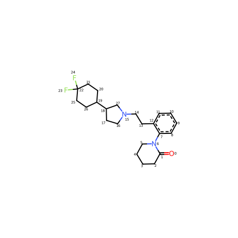 O=C1CCCCN1c1ccccc1CCN1CCC(C2CCC(F)(F)CC2)C1